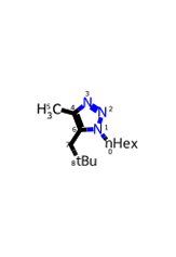 CCCCCCn1nnc(C)c1CC(C)(C)C